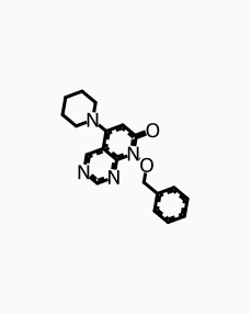 O=c1cc(N2CCCCC2)c2cncnc2n1OCc1ccccc1